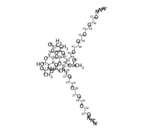 CC(=O)NC1C(O)OC(COC(C)=O)C(OC2OC(CCCOCCOCCOCCOCCON=[N+]=[N-])C(OC(C)=O)C(CCOCCOCCOCCOCCON=[N+]=[N-])C2OC(C)=O)C1OC(C)=O